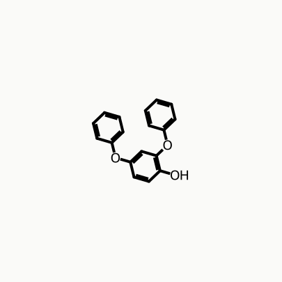 Oc1ccc(Oc2ccccc2)cc1Oc1ccccc1